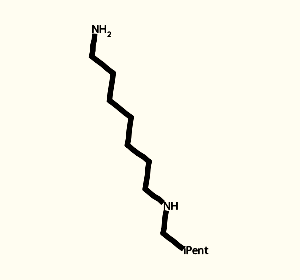 CCCC(C)CNCCCCCCCN